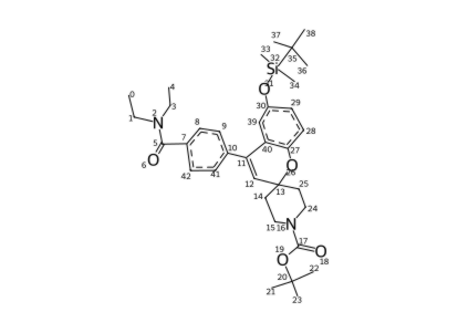 CCN(CC)C(=O)c1ccc(C2=CC3(CCN(C(=O)OC(C)(C)C)CC3)Oc3ccc(O[Si](C)(C)C(C)(C)C)cc32)cc1